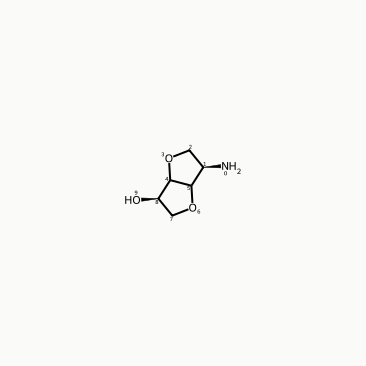 N[C@@H]1COC2C1OC[C@H]2O